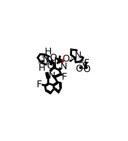 C#Cc1c(F)ccc2cccc(-c3ncc4c(N5C[C@H]6CC[C@@H](C5)N6C(=O)OC(C)(C)C)nc(OC[C@@]56CCCN5C[C@H](S(=O)(=O)F)C6)nc4c3F)c12